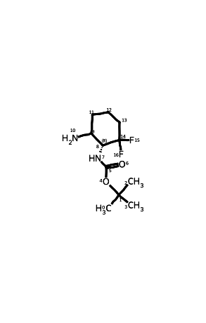 CC(C)(C)OC(=O)N[C@@H]1C(N)CCCC1(F)F